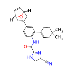 CC1(C)CC=C(c2cc(C3=C[C@@H]4C=C[C@H](C3)O4)ccc2NC(=O)C2=NC(C#N)CN2)CC1